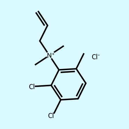 C=CC[N+](C)(C)c1c(C)ccc(Cl)c1Cl.[Cl-]